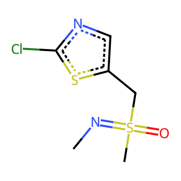 CN=S(C)(=O)Cc1cnc(Cl)s1